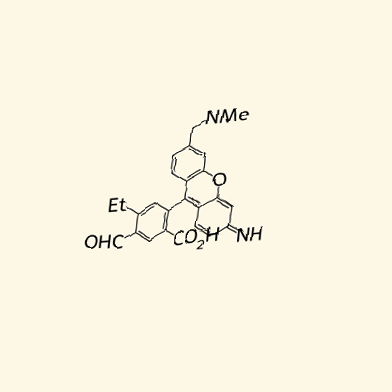 CCc1cc(-c2c3ccc(=N)cc-3oc3cc(CNC)ccc23)c(C(=O)O)cc1C=O